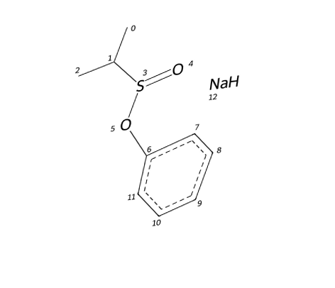 CC(C)S(=O)Oc1ccccc1.[NaH]